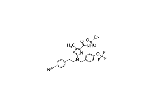 Cc1sc(N(CCc2ccc(C#N)cc2)Cc2ccc(OC(F)(F)F)cc2)nc1C(=O)NS(=O)(=O)C1CC1